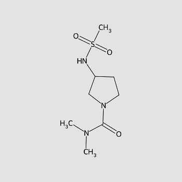 CN(C)C(=O)N1CCC(NS(C)(=O)=O)C1